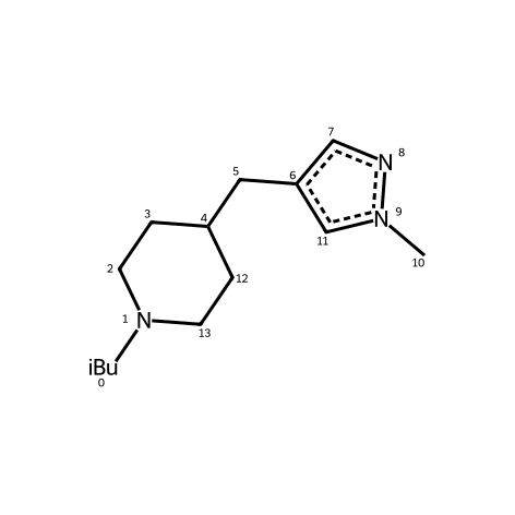 CCC(C)N1CCC(Cc2cnn(C)c2)CC1